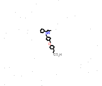 Cc1cc(-c2ccccc2)n(Cc2ccc(COc3ccc(CCC(=O)O)cc3)cc2)n1